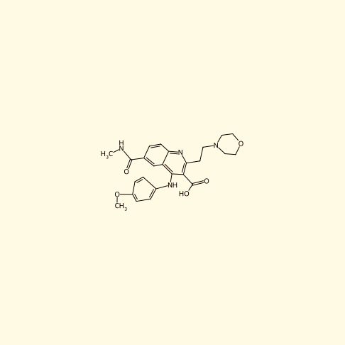 CNC(=O)c1ccc2nc(CCN3CCOCC3)c(C(=O)O)c(Nc3ccc(OC)cc3)c2c1